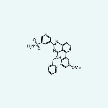 COc1cccc(-c2cccc3nc(-c4cncc(S(N)(=O)=O)c4)nc(NCc4ccccn4)c23)c1